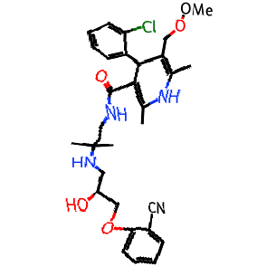 COOCC1=C(C)NC(C)=C(C(=O)NCC(C)(C)NC[C@H](O)COc2ccccc2C#N)C1c1ccccc1Cl